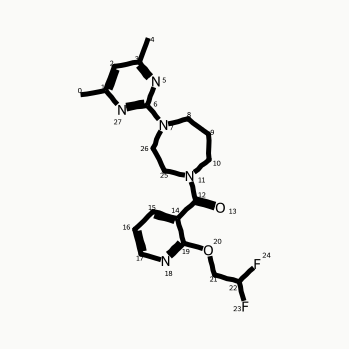 Cc1cc(C)nc(N2CCCN(C(=O)c3cccnc3OCC(F)F)CC2)n1